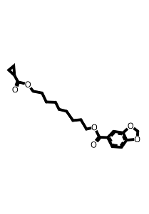 O=C(OCCCCCCCCCOC(=O)C1CC1)c1ccc2c(c1)OCO2